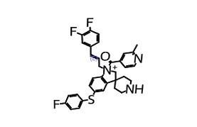 Cc1cc(C(=O)[N+]2(C/C=C/c3ccc(F)c(F)c3)CC3(CCNCC3)c3cc(Sc4ccc(F)cc4)ccc32)ccn1